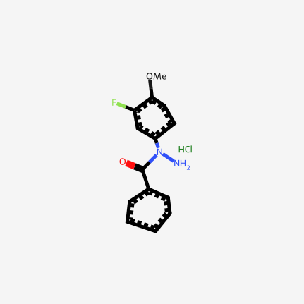 COc1ccc(N(N)C(=O)c2ccccc2)cc1F.Cl